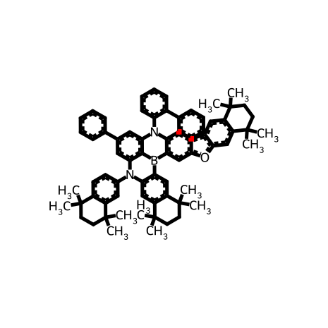 CC1(C)CCC(C)(C)c2cc(N3c4cc5c(cc4B4c6cc7oc8cc9c(cc8c7cc6N(c6ccccc6-c6ccccc6)c6cc(-c7ccccc7)cc3c64)C(C)(C)CCC9(C)C)C(C)(C)CCC5(C)C)ccc21